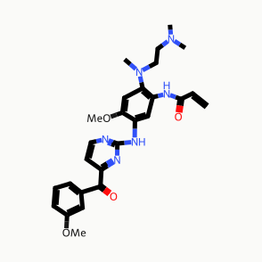 C=CC(=O)Nc1cc(Nc2nccc(C(=O)c3cccc(OC)c3)n2)c(OC)cc1N(C)CCN(C)C